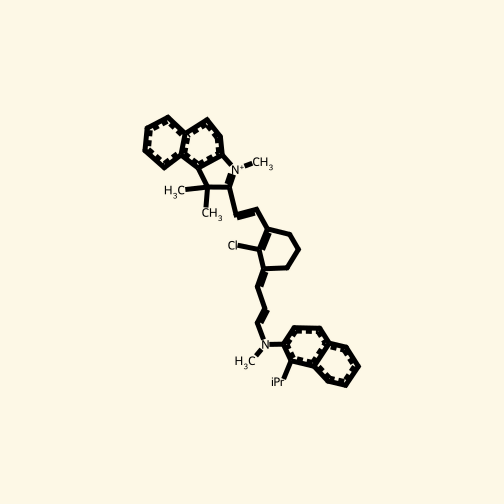 CC(C)c1c(N(C)/C=C/C=C2\CCCC(/C=C/C3=[N+](C)c4ccc5ccccc5c4C3(C)C)=C2Cl)ccc2ccccc12